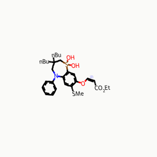 CCCCC1(CCCC)CN(c2ccccc2)c2cc(SC)c(O/C=C\C(=O)OCC)cc2S(O)(O)C1